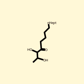 CCCCCCCCCCCC(=O)C(O)C(C)O